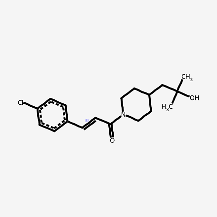 CC(C)(O)CC1CCN(C(=O)/C=C/c2ccc(Cl)cc2)CC1